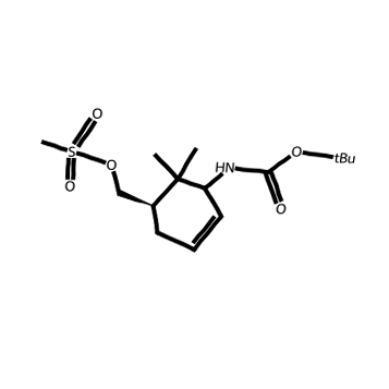 CC(C)(C)OC(=O)NC1C=CC[C@@H](COS(C)(=O)=O)C1(C)C